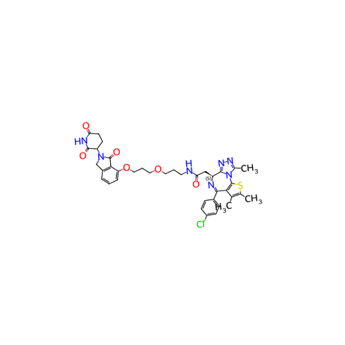 Cc1sc2c(c1C)C(c1ccc(Cl)cc1)=N[C@@H](CC(=O)NCCCOCCCOc1cccc3c1C(=O)N(C1CCC(=O)NC1=O)C3)c1nnc(C)n1-2